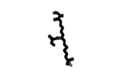 CCC(=O)O.CCCCNC(=O)CCCCCCCCCCCCC(N)=O